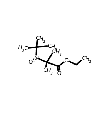 CCOC(=O)C(C)(C)[S+]([O-])C(C)(C)C